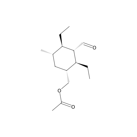 CC[C@H]1[C@H](COC(C)=O)C[C@H](C)[C@@H](CC)[C@@H]1C=O